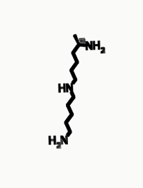 C[C@@H](N)CCCCNCCCCCN